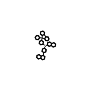 c1ccc(C2(c3cccc(N(c4ccc(-c5cccc6ccccc56)cc4)c4ccc5ccccc5c4)c3)c3ccccc3-c3ccccc32)cc1